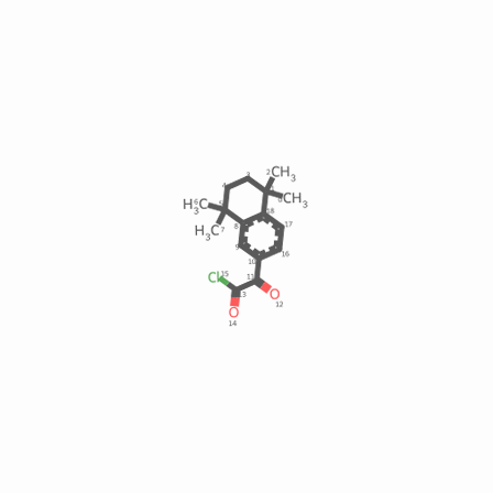 CC1(C)CCC(C)(C)c2cc(C(=O)C(=O)Cl)ccc21